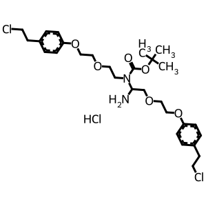 CC(C)(C)OC(=O)N(CCOCCOc1ccc(CCCl)cc1)C(N)COCCOc1ccc(CCCl)cc1.Cl